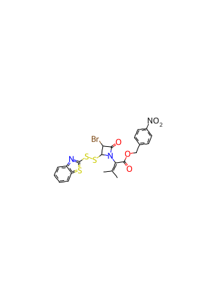 CC(C)=C(C(=O)OCc1ccc([N+](=O)[O-])cc1)N1C(=O)C(Br)C1SSc1nc2ccccc2s1